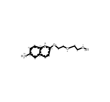 CCOCCOCCOc1ccc2cc(N)ccc2n1